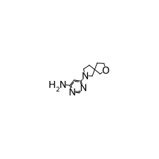 Nc1cc(N2CCC3(CCOC3)C2)ncn1